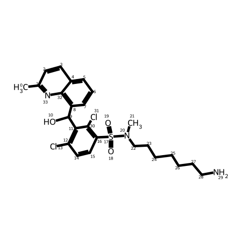 Cc1ccc2cccc(C(O)c3c(Cl)ccc(S(=O)(=O)N(C)CCCCCCCN)c3Cl)c2n1